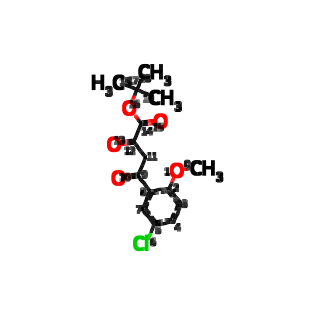 COc1ccc(Cl)cc1C(=O)CC(=O)C(=O)OC(C)(C)C